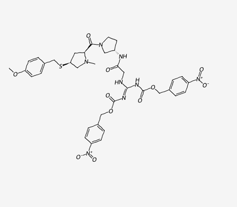 COc1ccc(CS[C@H]2C[C@@H](C(=O)N3CC[C@H](NC(=O)CN/C(=N\C(=O)OCc4ccc([N+](=O)[O-])cc4)NC(=O)OCc4ccc([N+](=O)[O-])cc4)C3)N(C)C2)cc1